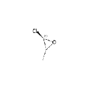 CC1O[C@@H]1Cl